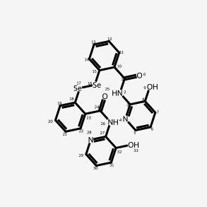 O=C(Nc1ncccc1O)c1ccccc1[Se][Se]c1ccccc1C(=O)Nc1ncccc1O